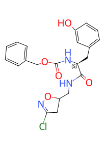 O=C(N[C@@H](Cc1cccc(O)c1)C(=O)NCC1CC(Cl)=NO1)OCc1ccccc1